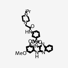 COc1cc(Nc2nc3ccccc3nc2NS(=O)(=O)c2cccc(NC(=O)CN3CCN(C(C)C)CC3)c2)cc(OC)c1